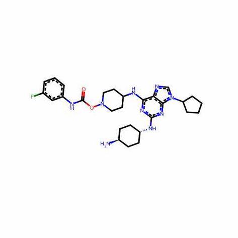 N[C@H]1CC[C@H](Nc2nc(NC3CCN(OC(=O)Nc4cccc(F)c4)CC3)c3ncn(C4CCCC4)c3n2)CC1